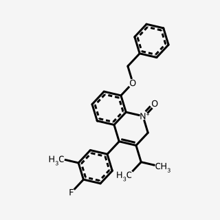 Cc1cc(C2=C(C(C)C)C[N+](=O)c3c(OCc4ccccc4)cccc32)ccc1F